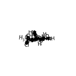 CC1(C)CCC(CN2CCN(c3ccc(C(=O)NS(=O)(=O)c4ccc(NC[C@H]5CCNC5)c([N+](=O)[O-])c4)c(Oc4cnc5[nH]ccc5c4)c3)CC2)=C(c2ccc(Cl)cc2)C1